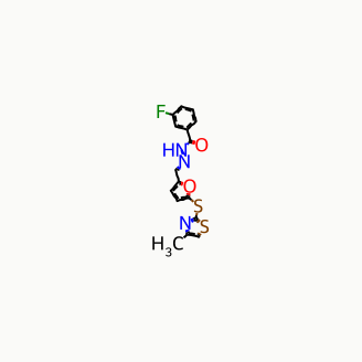 Cc1csc(Sc2ccc(/C=N/NC(=O)c3cccc(F)c3)o2)n1